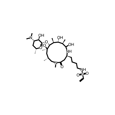 C=CS(=O)(=O)NCCCC[C@H]1CC(=O)N(C)C[C@H](C)C[C@@](C)(O)[C@H](O[C@@H]2O[C@H](C)C[C@H](N(C)C)[C@H]2O)[C@@H](C)[C@H](O)[C@@H](C)C(O)N1